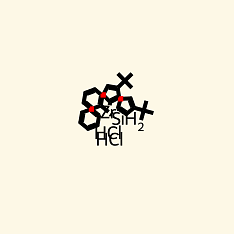 CC(C)(C)C1=CC[C]([Zr](=[SiH2])([C]2=CC(C(C)(C)C)=CC2)([c]2ccccc2)[c]2ccccc2)=C1.Cl.Cl